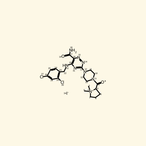 C[N+]1(C)CCCC1C(=O)N1CCN(c2nnc(C(N)=O)c(NCc3ccc(Cl)cc3Cl)n2)CC1.[I-]